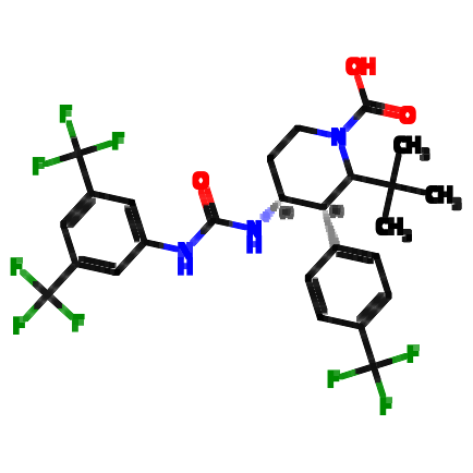 CC(C)(C)C1[C@H](c2ccc(C(F)(F)F)cc2)[C@H](NC(=O)Nc2cc(C(F)(F)F)cc(C(F)(F)F)c2)CCN1C(=O)O